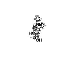 OC[C@H]1O[C@@H](n2cc(-c3ccccc3)c3c(NCc4ccncc4)ncnc32)[C@@H](O)[C@H]1O